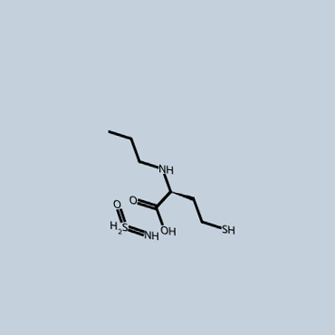 CCCN[C@@H](CCS)C(=O)O.N=[SH2]=O